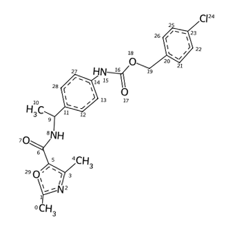 Cc1nc(C)c(C(=O)NC(C)c2ccc(NC(=O)OCc3ccc(Cl)cc3)cc2)o1